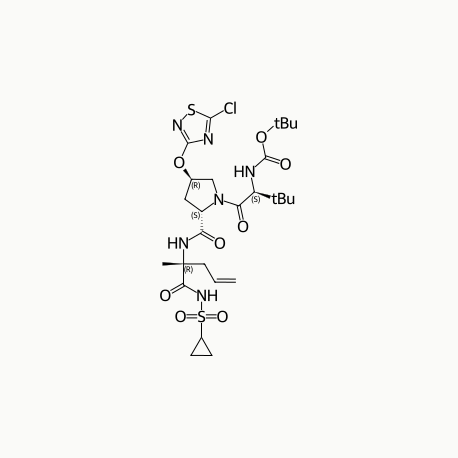 C=CC[C@@](C)(NC(=O)[C@@H]1C[C@@H](Oc2nsc(Cl)n2)CN1C(=O)[C@@H](NC(=O)OC(C)(C)C)C(C)(C)C)C(=O)NS(=O)(=O)C1CC1